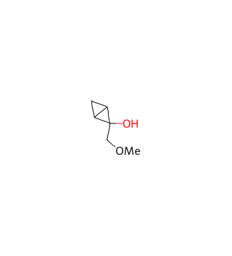 COCC1(O)C2CC21